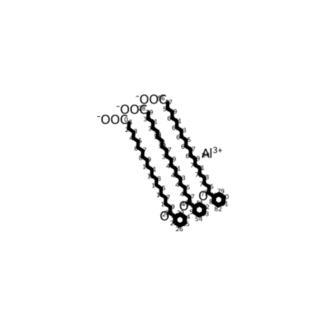 O=C([O-])CCCCCCCCCCCCCCCCCCCC(=O)c1ccccc1.O=C([O-])CCCCCCCCCCCCCCCCCCCC(=O)c1ccccc1.O=C([O-])CCCCCCCCCCCCCCCCCCCC(=O)c1ccccc1.[Al+3]